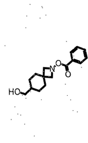 O=C(ON1CC2(CCC(CO)CC2)C1)c1ccccc1